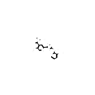 Cc1cccnc1Nc1nc(-c2cc(C(=O)N(C)C)c(OC(C)C)cn2)ns1